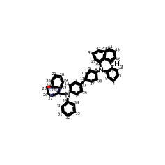 Cc1ccccc1N(c1ccc(-c2ccc(N(C3=c4\cccc\c4=C/CC/C=C\3)c3ccccc3)cc2)cc1)c1cccc2ccccc12